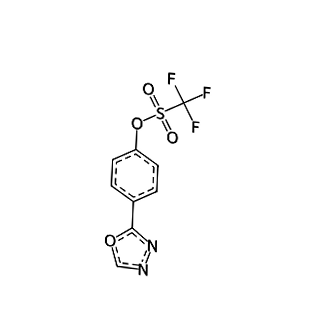 O=S(=O)(Oc1ccc(-c2nnco2)cc1)C(F)(F)F